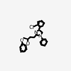 Clc1ccccc1C1CN(c2ccccc2)C(CCC2COc3ccccc3O2)=N1